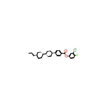 CCC[C@H]1CC[C@H]([C@H]2CC[C@H](c3ccc(C(=O)Oc4ccc(F)c(Cl)c4)cc3)CC2)CC1